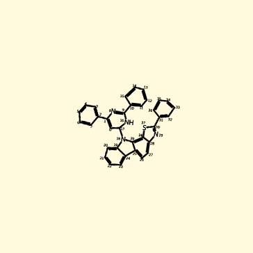 C1=C(c2ccccc2)N=C(c2ccccc2)NC1n1c2ccccc2c2ccc3nc(-c4ccccc4)sc3c21